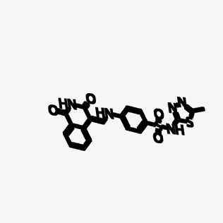 Cc1nnc(NS(=O)(=O)c2ccc(NC=C3C(=O)NC(=O)c4ccccc43)cc2)s1